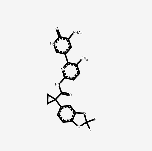 CC(=O)Nc1cc(-c2nc(NC(=O)C3(c4ccc5c(c4)OC(F)(F)O5)CC3)ccc2C)c[nH]c1=O